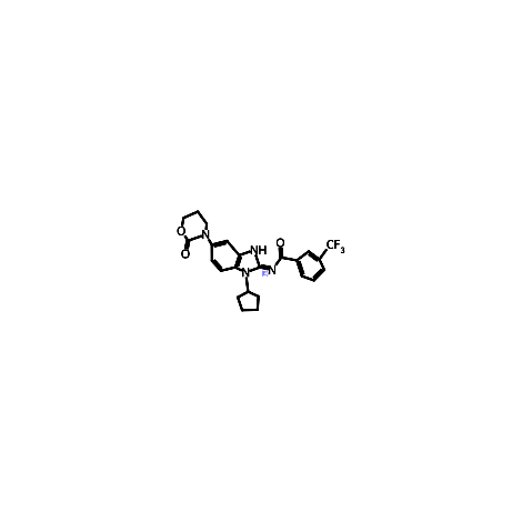 O=C(/N=c1\[nH]c2cc(N3CCCOC3=O)ccc2n1C1CCCC1)c1cccc(C(F)(F)F)c1